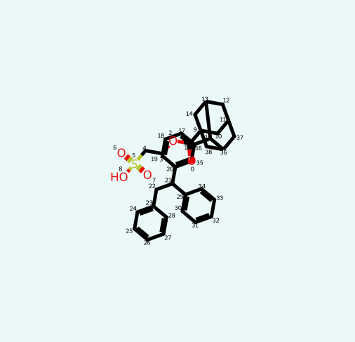 O=C(OCCS(=O)(=O)O)C12CC3CC(C1)C(c1cccc(C(Cc4ccccc4)c4ccccc4)c1)C(C3)C2